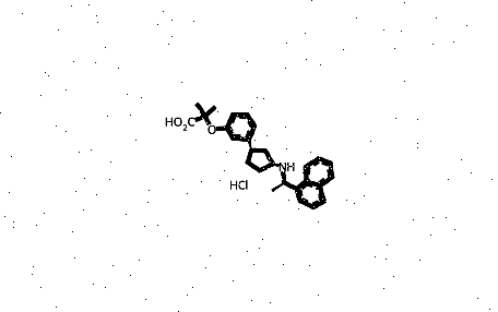 C[C@@H](N[C@H]1CC[C@@H](c2cccc(OC(C)(C)C(=O)O)c2)C1)c1cccc2ccccc12.Cl